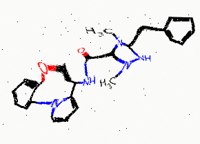 CN1NC(Cc2ccccc2)N(C)C1C(=O)NC1COc2ccccc2-n2cccc21